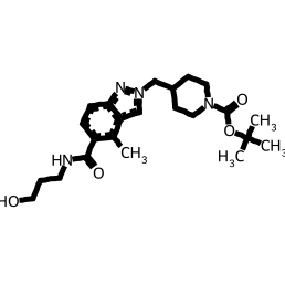 Cc1c(C(=O)NCCCO)ccc2nn(CC3CCN(C(=O)OC(C)(C)C)CC3)cc12